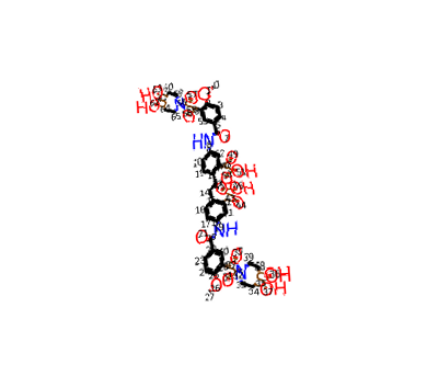 COc1ccc(C(=O)Nc2ccc(CCc3ccc(NC(=O)c4ccc(OC)c(S(=O)(=O)N5CCS(O)(O)CC5)c4)cc3S(=O)(=O)O)c(S(=O)(=O)O)c2)cc1S(=O)(=O)N1CCS(O)(O)CC1